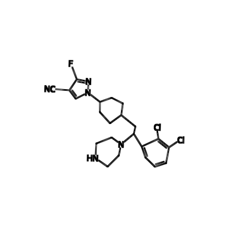 N#Cc1cn(C2CCC(CC(c3cccc(Cl)c3Cl)N3CCNCC3)CC2)nc1F